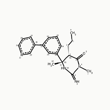 CCC[C@@H]1C(=O)N(C)C(=N)N[C@]1(C)c1cccc(-c2cccnc2)c1